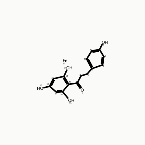 O=C(CCc1ccc(O)cc1)c1c(O)cc(O)cc1O.[Fe]